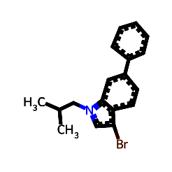 CC(C)Cn1cc(Br)c2ccc(-c3ccccc3)cc21